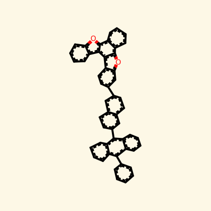 c1ccc(-c2c3ccccc3c(-c3ccc4cc(-c5ccc6c(c5)oc5c7ccccc7c7oc8ccccc8c7c65)ccc4c3)c3ccccc23)cc1